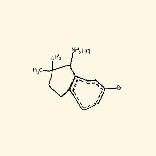 CC1(C)CCc2ccc(Br)cc2C1N.Cl